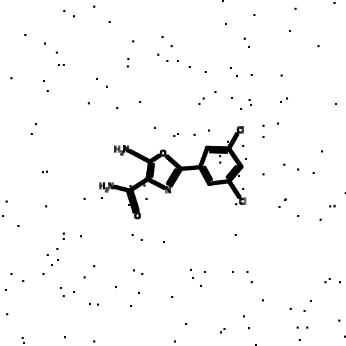 NC(=O)c1nc(-c2cc(Cl)cc(Cl)c2)oc1N